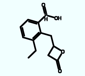 CCc1cccc([PH](=O)O)c1CC1CC(=O)O1